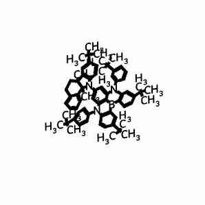 CC(C)(C)c1ccc(N2c3ccc(C(C)(C)C)cc3B3c4ccc(C(C)(C)C)cc4N(c4cccc(C(C)(C)C)c4)c4cc(N5c6ccc(C(C)(C)C)cc6C6(C)CCc7ccccc7C56C)cc2c43)cc1